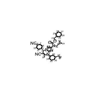 CC1=C(C#N)[C@@H](c2ccc(C#N)cc2)n2nc(N(CC3CC3)C(=O)OCc3ccccc3)nc2N1c1cccc(CF)c1